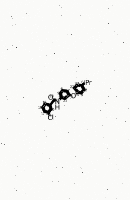 CC(C)c1ccc(Oc2cccc(NC(=O)c3cccc(Cl)c3)c2)cc1